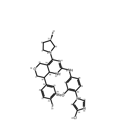 COc1cc(NC2=NC(N3CC[C@@H](F)C3)=C3COCC(c4ccc(F)cc4)C3N2)ccc1-n1cnc(Cl)c1